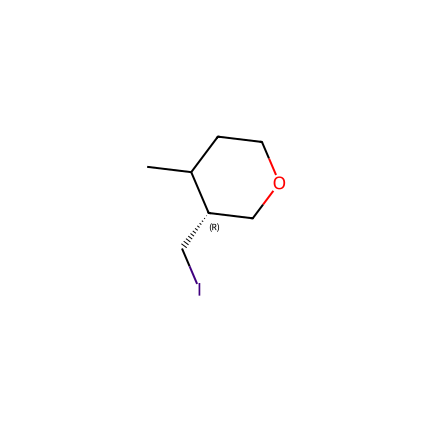 CC1CCOC[C@@H]1CI